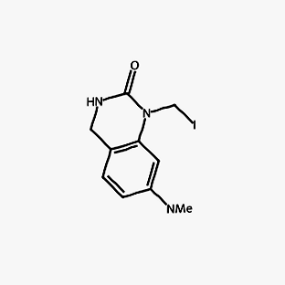 CNc1ccc2c(c1)N(CI)C(=O)NC2